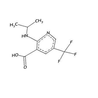 CC(C)Nc1ncc(C(F)(F)F)cc1C(=O)O